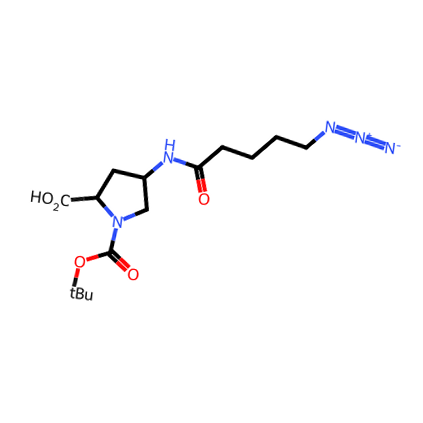 CC(C)(C)OC(=O)N1CC(NC(=O)CCCCN=[N+]=[N-])CC1C(=O)O